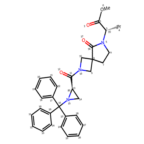 COC(=O)[C@H](C(C)C)N1CCC2(CN(C(=O)[C@H]3CN3C(c3ccccc3)(c3ccccc3)c3ccccc3)C2)C1=O